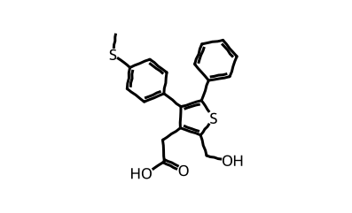 CSc1ccc(-c2c(-c3ccccc3)sc(CO)c2CC(=O)O)cc1